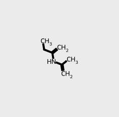 C=C(C)NC(=C)CC